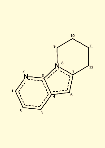 c1cnc2c(c1)cc1n2CCCC1